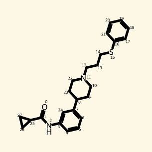 O=C(Nc1cccc(C2CCN(CCCSc3ccccc3)CC2)c1)C1CC1